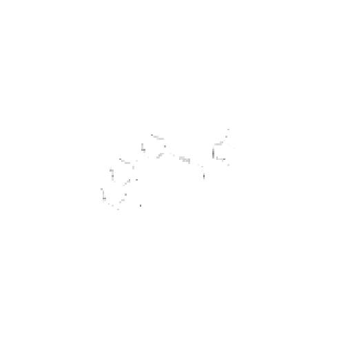 Cc1cc([C@@H](C)C#Cc2cccc(-c3ccc4ccnc(N)c4n3)c2)no1